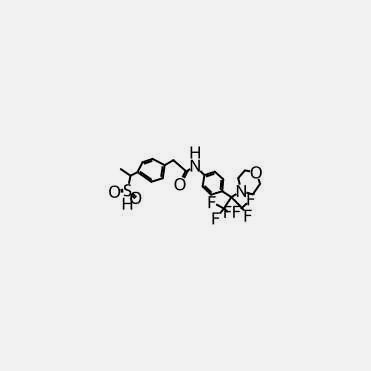 CC(c1ccc(CC(=O)Nc2ccc(C(N3CCOCC3)(C(F)(F)F)C(F)(F)F)cc2)cc1)[SH](=O)=O